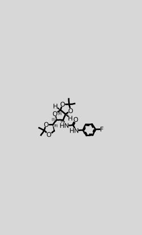 CC1(C)O[C@H]2O[C@H]([C@H]3COC(C)(C)O3)[C@@H](NC(=O)Nc3ccc(F)cc3)[C@H]2O1